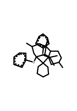 CC1CCC(C(C)C)C(Oc2ccccc2)(C2(C3(Oc4ccccc4)CC(C)CCC3C(C)C)CCCCC2)C1